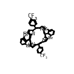 FC(F)(F)c1ccc(-c2c3nc(c(-c4c(Br)cccc4Br)c4ccc([nH]4)c(-c4ccc(C(F)(F)F)cc4)c4nc(c(-c5c(Br)cccc5Br)c5ccc2[nH]5)C=C4)C=C3)cc1